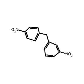 O=[N+]([O-])c1ccc(Cc2cccc([N+](=O)[O-])c2)cc1